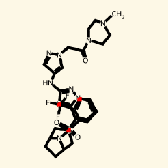 CN1CCN(C(=O)Cn2cc(Nc3nc4c(N5CC6CCC(C5)N6S(=O)(=O)c5ccccc5C(F)(F)F)cccn4n3)cn2)CC1